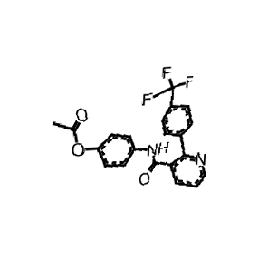 CC(=O)Oc1ccc(NC(=O)c2cccnc2-c2ccc(C(F)(F)F)cc2)cc1